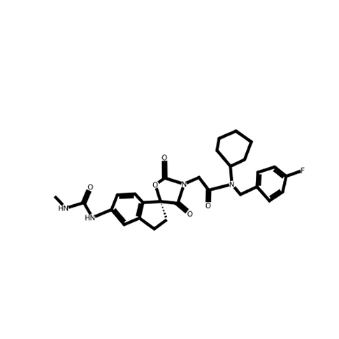 CNC(=O)Nc1ccc2c(c1)CC[C@@]21OC(=O)N(CC(=O)N(Cc2ccc(F)cc2)C2CCCCC2)C1=O